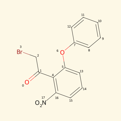 O=C(CBr)c1c(Oc2ccccc2)cccc1[N+](=O)[O-]